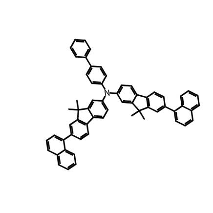 CC1(C)c2cc(-c3cccc4ccccc34)ccc2-c2ccc(N(c3ccc(-c4ccccc4)cc3)c3ccc4c(c3)C(C)(C)c3cc(-c5cccc6ccccc56)ccc3-4)cc21